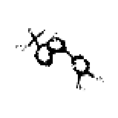 Cc1nc(-c2c[nH]c3c(C(F)(P)I)cccc23)ccc1N